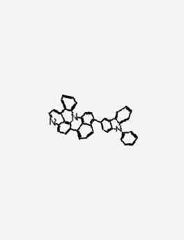 c1ccc(-n2c3ccccc3c3cc(-c4ccc5c6c(cccc46)-c4ccc6nccc7c6c4N5c4ccccc4-7)ccc32)cc1